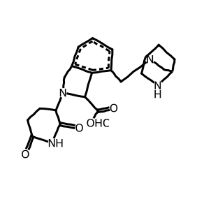 O=CC(=O)C1c2c(CN3CC4CCC3CN4)cccc2CN1C1CCC(=O)NC1=O